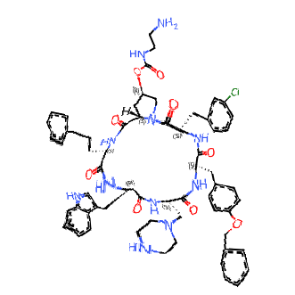 NCCNC(=O)O[C@@H]1C[C@H]2C(=O)N[C@@H](CCc3ccccc3)C(=O)N[C@H](Cc3c[nH]c4ccccc34)C(=O)N[C@@H](CN3CCNCC3)C(=O)N[C@@H](Cc3ccc(OCc4ccccc4)cc3)C(=O)N[C@@H](Cc3cccc(Cl)c3)C(=O)N2C1